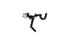 CCCCC/C=C\C/C=C\C/C=C\C/C=C\CCCC(=O)OC[C@H](COP(=O)(O)OC[C@H](N)C(=O)O)OC(=O)CCCCCCC/C=C\CCCCCC